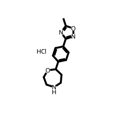 Cc1nc(-c2ccc(C3CCNCCO3)cc2)no1.Cl